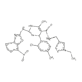 CCn1cc(CNC(=O)C2=C(C)NC(Nc3nc4cccc([N+](=O)[O-])c4o3)=NC2c2ccc(C)cc2Cl)cn1